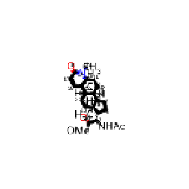 COC(=O)C(NC(C)=O)[C@H]1CC[C@H]2[C@@H]3CC[C@H]4N(C)C(=O)C=C[C@]4(C)[C@H]3CC[C@]12C